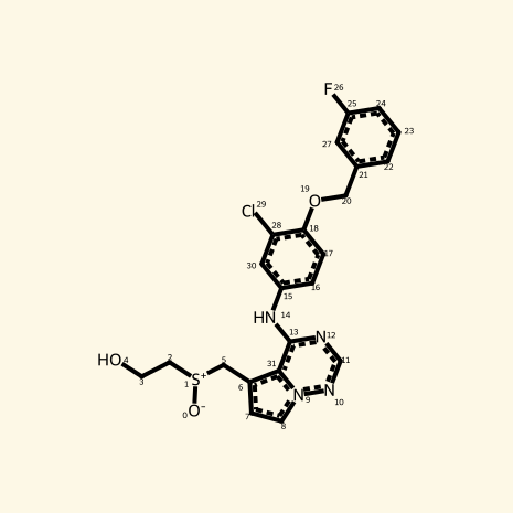 [O-][S+](CCO)Cc1ccn2ncnc(Nc3ccc(OCc4cccc(F)c4)c(Cl)c3)c12